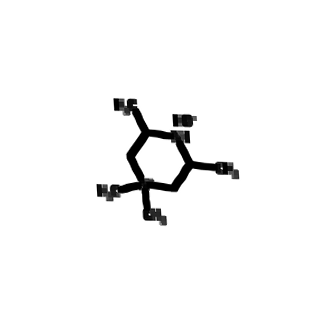 CC1C[N+](C)(C)CC(C)N1.[OH-]